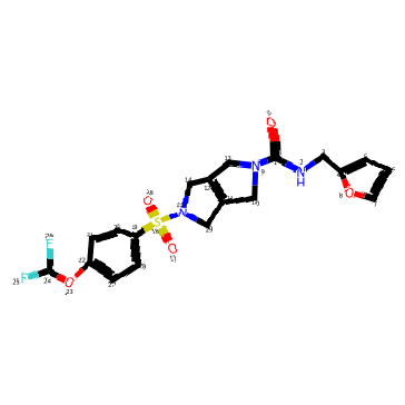 O=C(NCc1ccco1)N1CC2=C(C1)CN(S(=O)(=O)c1ccc(OC(F)F)cc1)C2